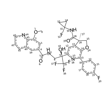 COc1cc(C(=O)NC[C@](O)(c2cc3c(c(-c4ccc(F)cc4)n2)OC[C@]3(C)C(=O)NC2(F)CC2)C(F)(F)F)cc2cccnc12